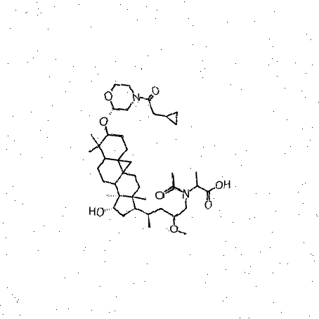 COC(C[C@@H](C)[C@H]1C[C@H](O)[C@@]2(C)C3CCC4C(C)(C)C(O[C@H]5CN(C(=O)CC6CC6)CCO5)CCC45CC35CCC12C)CN(C(C)=O)C(C)C(=O)O